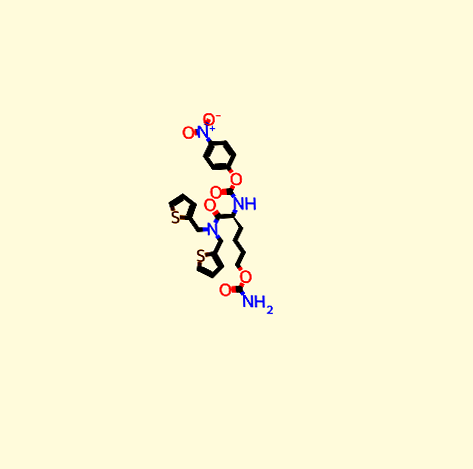 NC(=O)OCCCC[C@H](NC(=O)Oc1ccc([N+](=O)[O-])cc1)C(=O)N(Cc1cccs1)Cc1cccs1